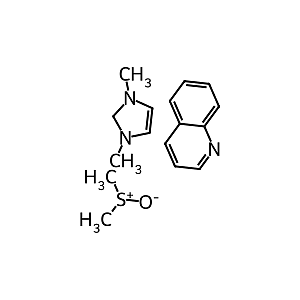 CN1C=CN(C)C1.C[S+](C)[O-].c1ccc2ncccc2c1